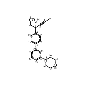 CC#CC(CC(=O)O)c1ccc(-c2cccc(N3CCOCC3)c2)cc1